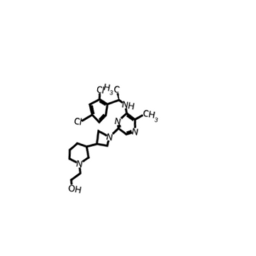 Cc1ncc(N2CC(C3CCCN(CCO)C3)C2)nc1N[C@H](C)c1ccc(Cl)cc1Cl